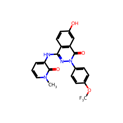 Cn1cccc(Nc2nn(-c3ccc(OC(F)(F)F)cc3)c(=O)c3cc(O)ccc23)c1=O